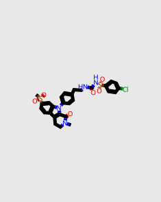 CN1CCc2c(n(-c3ccc(CCNC(=O)NS(=O)(=O)c4ccc(Cl)cc4)cc3)c3cc(S(C)(=O)=O)ccc23)C1=O